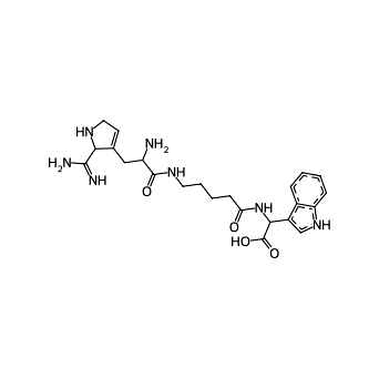 N=C(N)C1NCC=C1CC(N)C(=O)NCCCCC(=O)NC(C(=O)O)c1c[nH]c2ccccc12